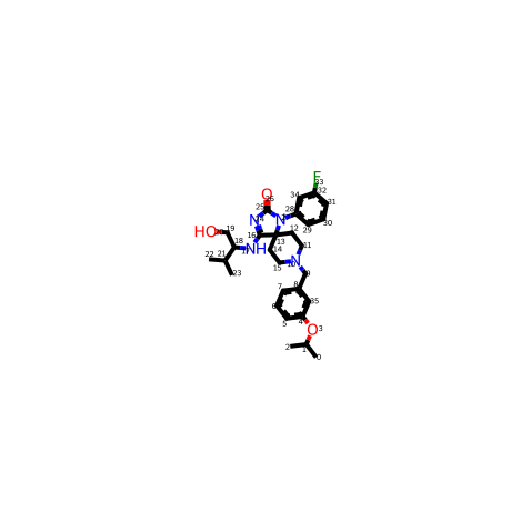 CC(C)Oc1cccc(CN2CCC3(CC2)C(NC(CO)C(C)C)=NC(=O)N3c2cccc(F)c2)c1